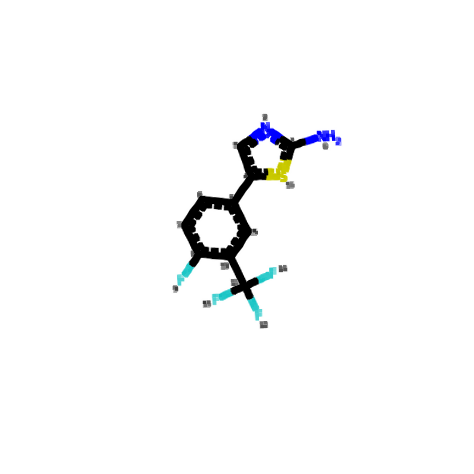 Nc1ncc(-c2ccc(F)c(C(F)(F)F)c2)s1